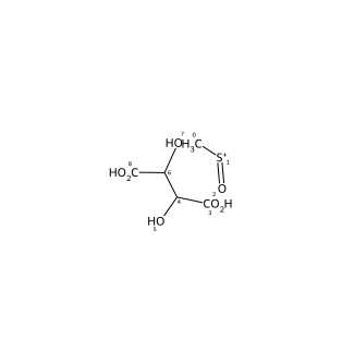 C[S+]=O.O=C(O)C(O)C(O)C(=O)O